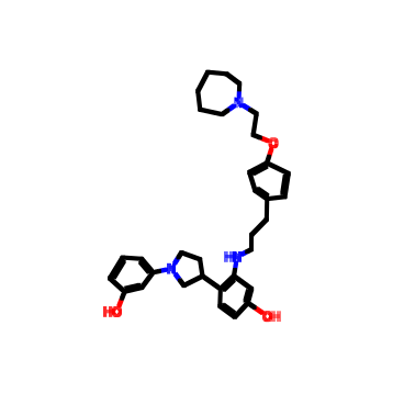 Oc1cccc(N2CCC(c3ccc(O)cc3NCCCc3ccc(OCCN4CCCCCC4)cc3)C2)c1